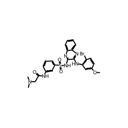 COc1ccc(Br)c(Nc2nc3ccccc3nc2NS(=O)(=O)c2cccc(NC(=O)CN(C)C)c2)c1